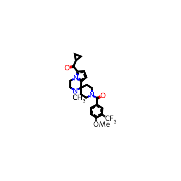 COc1ccc(C(=O)N2CCC3(CC2)c2ccc(C(=O)C4CC4)n2CCN3C)cc1C(F)(F)F